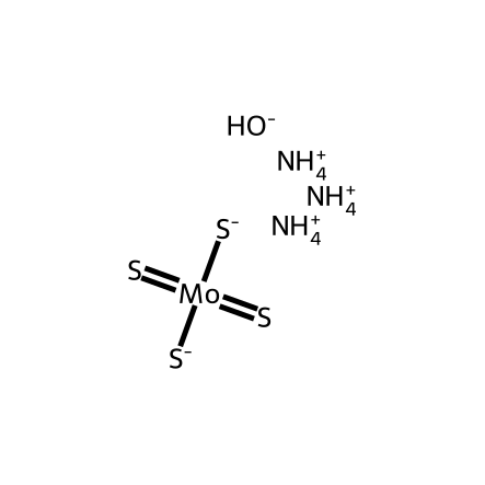 [NH4+].[NH4+].[NH4+].[OH-].[S]=[Mo](=[S])([S-])[S-]